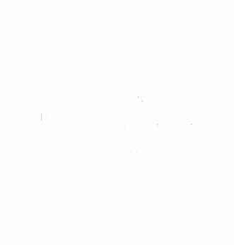 C=CCC1=C2OCC(=O)C2NC1